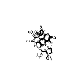 C[C@H](Oc1nc2c(F)c(Cl)ncc2c(N(C(=O)OC(C)(C)C)[C@H]2[C@@H]3C[C@H]2N(C(=O)O)C3)c1N)[C@@H]1CCCN1C